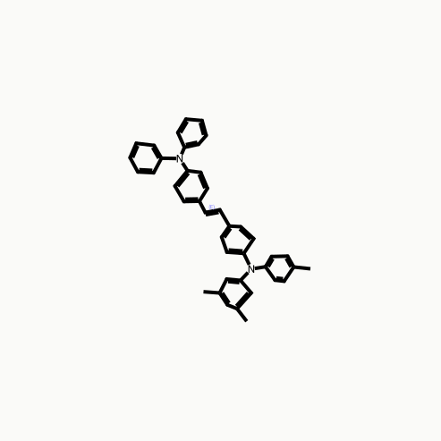 Cc1ccc(N(c2ccc(/C=C/c3ccc(N(c4ccccc4)c4ccccc4)cc3)cc2)c2cc(C)cc(C)c2)cc1